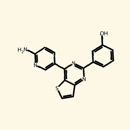 Nc1ccc(-c2nc(-c3cccc(O)c3)nc3ccsc23)cn1